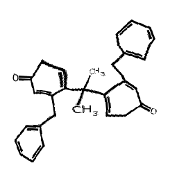 CC(C)(C1=CCC(=O)C=C1Cc1ccccc1)C1=CCC(=O)C=C1Cc1ccccc1